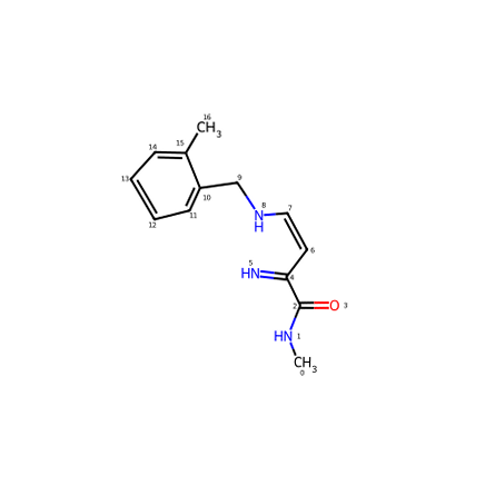 CNC(=O)C(=N)/C=C\NCc1ccccc1C